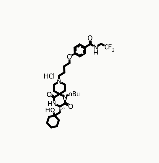 CCCCN1C(=O)[C@@H](CC2(O)CCCCC2)NC(=O)C12CCN(CCCCOc1ccc(C(=O)NCC(F)(F)F)cc1)CC2.Cl